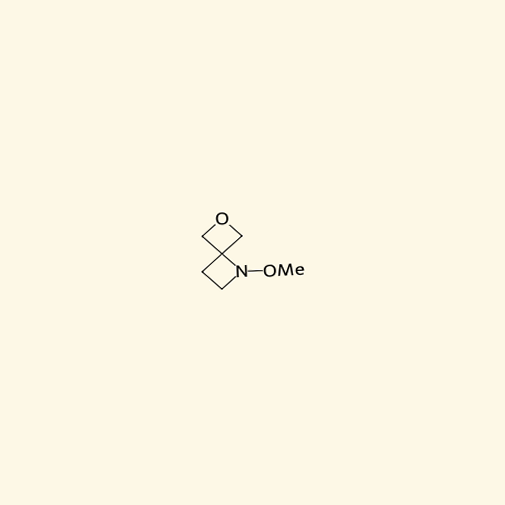 CON1CCC12COC2